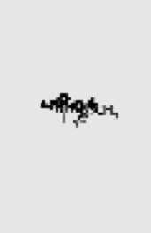 COc1cc(Nc2cccc3cn(CC4CC4)nc23)ccc1-c1cnc(C)o1